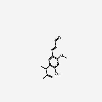 C=C(C)C(C)c1cc(C=C[C]=O)c(OC)cc1O